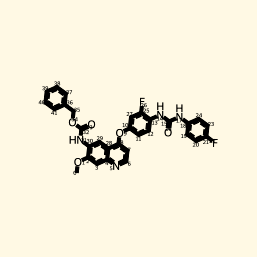 COc1cc2nccc(Oc3ccc(NC(=O)Nc4ccc(F)cc4)c(F)c3)c2cc1NC(=O)OCc1ccccc1